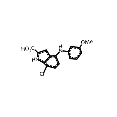 COc1cccc(Nc2ccc(Cl)c3[nH]c(C(=O)O)cc23)c1